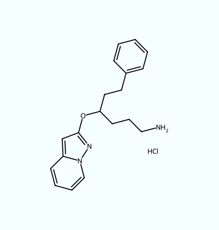 Cl.NCCCC(CCc1ccccc1)Oc1cc2ccccn2n1